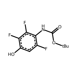 CC(C)(C)OC(=O)Nc1c(F)cc(O)c(F)c1F